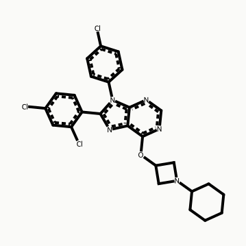 Clc1ccc(-n2c(-c3ccc(Cl)cc3Cl)nc3c(OC4CN(C5CCCCC5)C4)ncnc32)cc1